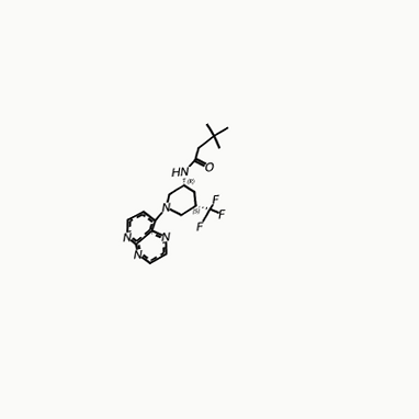 CC(C)(C)CC(=O)N[C@@H]1C[C@H](C(F)(F)F)CN(c2ccnc3nccnc23)C1